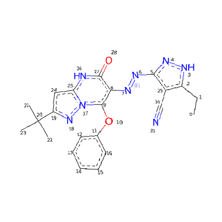 CCc1[nH]nc(/N=N/c2c(Oc3ccccc3)n3nc(C(C)(C)C)cc3[nH]c2=O)c1C#N